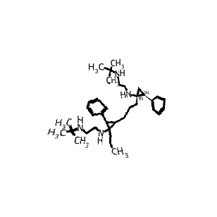 CCCC1(NCCNC(C)(C)C)C(CCC[C@@]2(NCCNC(C)(C)C)C[C@H]2c2ccccc2)C1c1ccccc1